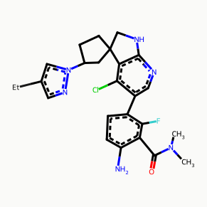 CCc1cnn(C2CCC3(CNc4ncc(-c5ccc(N)c(C(=O)N(C)C)c5F)c(Cl)c43)C2)c1